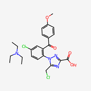 CCN(CC)CC.COc1ccc(C(=O)c2cc(Cl)ccc2-n2nc(C(=O)O)nc2CCl)cc1